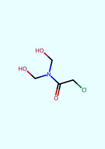 O=C(CCl)N(CO)CO